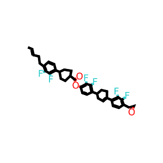 C/C=C/CCc1ccc(C2CCC(C(=O)Oc3ccc(C4CC=C(c5ccc(C6CO6)c(F)c5F)CC4)c(F)c3F)CC2)c(F)c1F